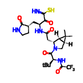 CC(C)(C)[C@H](NC(=O)C(F)(F)F)C(=O)N1C[C@H]2[C@@H]([C@H]1CC(=O)N[C@@H](C[C@@H]1CCNC1=O)C(=O)C(=N)S)C2(C)C